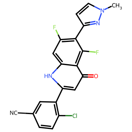 Cn1ccc(-c2c(F)cc3[nH]c(-c4cc(C#N)ccc4Cl)cc(=O)c3c2F)n1